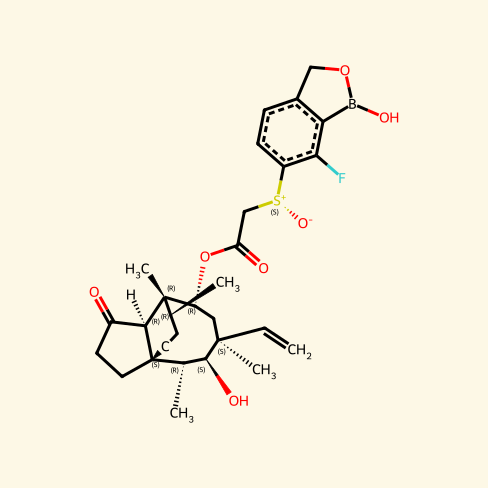 C=C[C@]1(C)C[C@@H](OC(=O)C[S@@+]([O-])c2ccc3c(c2F)B(O)OC3)[C@]2(C)[C@H](C)CC[C@]3(CCC(=O)[C@H]32)[C@@H](C)[C@@H]1O